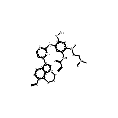 C=CC(=O)Nc1cc(Nc2nccc(-c3cn4c5c(c(C=C)ccc35)CCC4)n2)c(OC(F)(F)F)cc1N(C)CCN(C)C